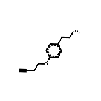 C#CCCOc1ccc(CCC(=O)O)cc1